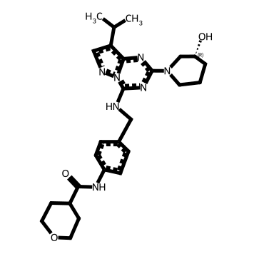 CC(C)c1cnn2c(NCc3ccc(NC(=O)C4CCOCC4)cc3)nc(N3CCC[C@@H](O)C3)nc12